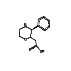 O=C(O)CC1OCCN[C@H]1c1ccccc1